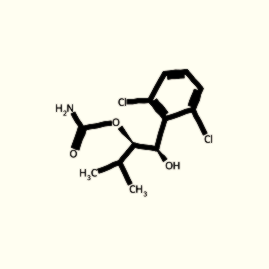 CC(C)[C@@H](OC(N)=O)[C@H](O)c1c(Cl)cccc1Cl